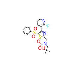 CC(C)(C)CN(Cc1nc(-c2cccnc2F)c(S(=O)(=O)c2ccccc2)s1)C(=O)O